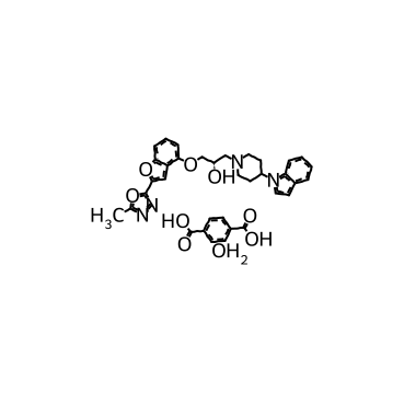 Cc1nnc(-c2cc3c(OC[C@@H](O)CN4CCC(n5ccc6ccccc65)CC4)cccc3o2)o1.O.O=C(O)c1ccc(C(=O)O)cc1